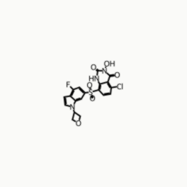 O=c1[nH]c2c(S(=O)(=O)c3cc(F)c4ccn(C5COC5)c4c3)ccc(Cl)c2c(=O)n1O